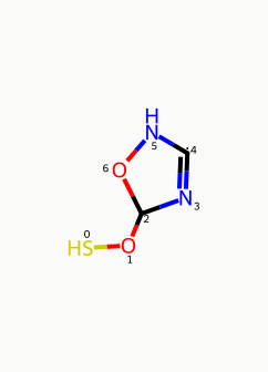 SOC1N=[C]NO1